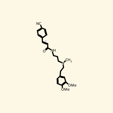 COc1ccc(CCN(C)CCCNC(=O)/C=C/c2ccc(C#N)cc2)cc1OC